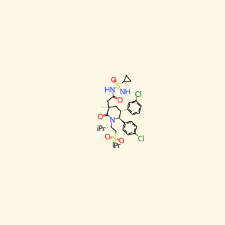 CC(C)[C@@H](CS(=O)(=O)C(C)C)N1C(=O)[C@@](C)(CC(=O)NS(=N)(=O)C2CC2)C[C@H](c2cccc(Cl)c2)[C@H]1c1ccc(Cl)cc1